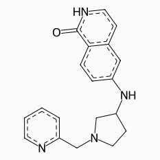 O=c1[nH]ccc2cc(NC3CCN(Cc4ccccn4)C3)ccc12